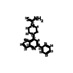 NC(=S)N1CCN(c2cc(-c3ccccc3)nc3ccsc23)CC1